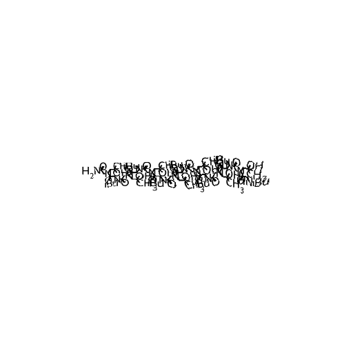 CCC(C)NCC(=O)N(CC(=O)N(CC(=O)N(CC(=O)N(CC(=O)N(CC(=O)N(CC(=O)N(CC(=O)N(CC(=O)N(CC(=O)N(CC(=O)N(CC(=O)N(CC(=O)N(CC(N)=O)CC(C)O)C(C)CC)CC(C)O)C(C)CC)CC(C)O)C(C)CC)CC(C)O)C(C)CC)CC(C)O)C(C)CC)CC(C)O)C(C)CC)CC(C)O